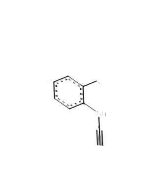 C#CNc1ccccc1C